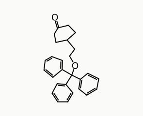 O=C1CCC(CCOC(c2ccccc2)(c2ccccc2)c2ccccc2)CC1